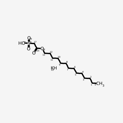 CCCCCCCCCCCCCCOC(=O)CS(=O)(=O)O.[KH]